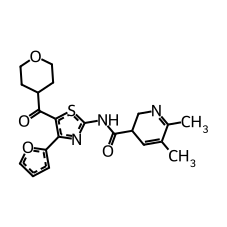 CC1=CC(C(=O)Nc2nc(-c3ccco3)c(C(=O)C3CCOCC3)s2)CN=C1C